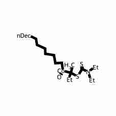 CCCCCCCCCCCCCCCC[CH2][Co](=[O])[C](C)(CC)SC(=S)N(CC)CC